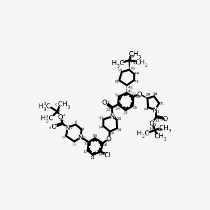 CC(C)(C)OC(=O)N1CCN(c2ccc(Cl)c(OC3CCN(C(=O)c4ccc(O[C@H]5CCN(C(=O)OC(C)(C)C)C5)c([C@H]5CC[C@H](C(C)(C)C)CC5)c4)CC3)c2)CC1